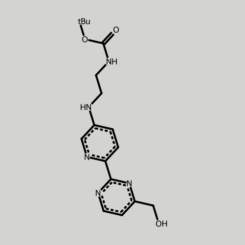 CC(C)(C)OC(=O)NCCNc1ccc(-c2nccc(CO)n2)nc1